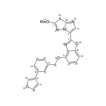 COc1nn2c(-c3nc4c(OCc5cccc(-c6ccoc6)c5)cccc4o3)cnc2s1